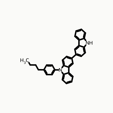 CCCCc1ccc(-n2c3ccccc3c3cc(-c4ccc5[nH]c6ccccc6c5c4)ccc32)cc1